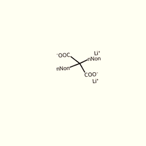 CCCCCCCCCC(CCCCCCCCC)(C(=O)[O-])C(=O)[O-].[Li+].[Li+]